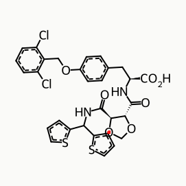 O=C(O)[C@H](Cc1ccc(OCc2c(Cl)cccc2Cl)cc1)NC(=O)[C@@H]1OCO[C@H]1C(=O)NC(c1cccs1)c1cccs1